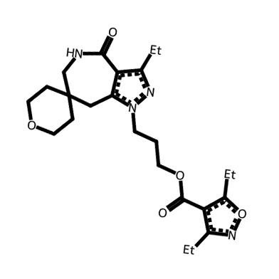 CCc1noc(CC)c1C(=O)OCCCn1nc(CC)c2c1CC1(CCOCC1)CNC2=O